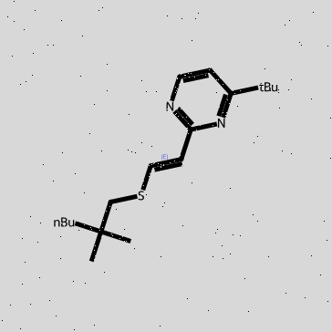 CCCCC(C)(C)CS/C=C/c1nccc(C(C)(C)C)n1